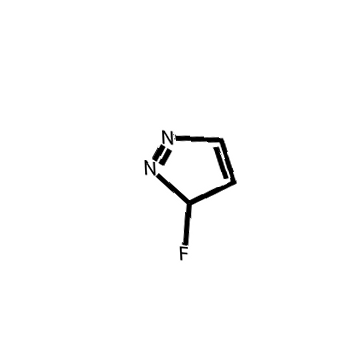 FC1C=CN=N1